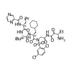 CCC(N)C(=O)C(=O)NC(=O)CN(C(=O)[C@H](CC1CCCCC1)NC(=O)[C@@H](NC(=O)[C@H](CC(C)C)NC(=O)c1cnccn1)[C@@H](C)CC)S(=O)(=O)c1cc(Cl)ccc1Cl